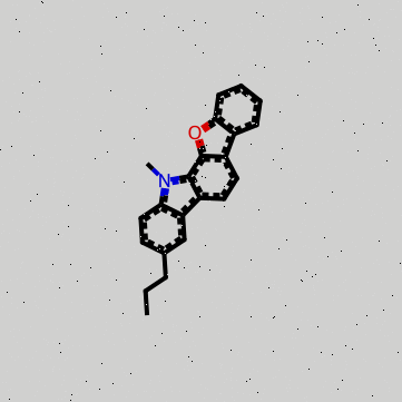 CCCc1ccc2c(c1)c1ccc3c4ccccc4oc3c1n2C